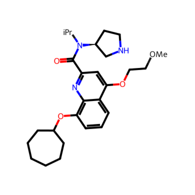 COCCOc1cc(C(=O)N(C(C)C)[C@H]2CCNC2)nc2c(OC3CCCCCC3)cccc12